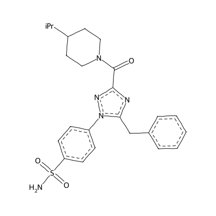 CC(C)C1CCN(C(=O)c2nc(Cc3ccccc3)n(-c3ccc(S(N)(=O)=O)cc3)n2)CC1